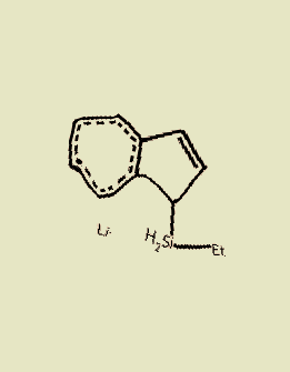 CC[SiH2]C1C=Cc2ccccc21.[Li]